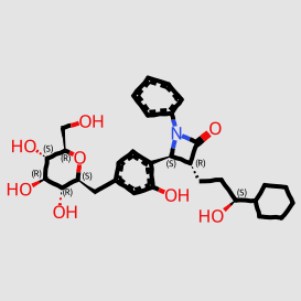 O=C1[C@H](CC[C@H](O)C2CCCCC2)[C@@H](c2ccc(C[C@@H]3O[C@H](CO)[C@@H](O)[C@H](O)[C@H]3O)cc2O)N1c1ccccc1